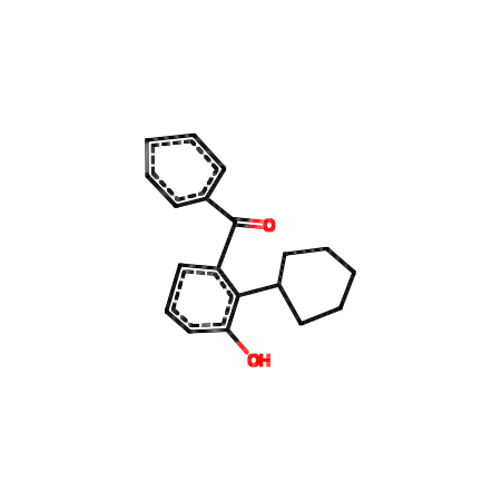 O=C(c1ccccc1)c1cccc(O)c1C1CCCCC1